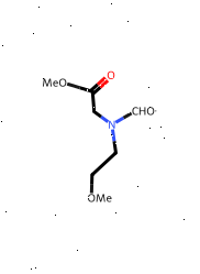 COCCN([C]=O)CC(=O)OC